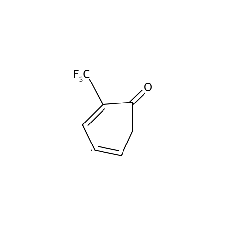 O=C1CC=[C]C=C1C(F)(F)F